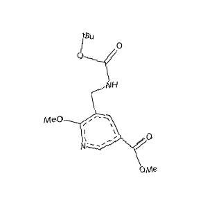 COC(=O)c1cnc(OC)c(CNC(=O)OC(C)(C)C)c1